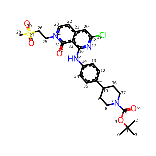 CC(C)(C)OC(=O)N1CCC(c2ccc(Nc3nc(Cl)cc4ccn(CCS(C)(=O)=O)c(=O)c34)cc2)CC1